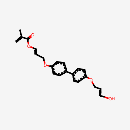 C=C(C)C(=O)O/C=C/COc1ccc(-c2ccc(OC/C=C/O)cc2)cc1